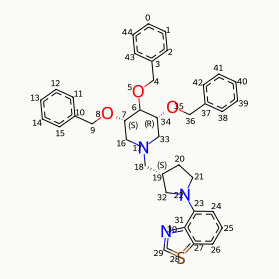 c1ccc(COC2[C@@H](OCc3ccccc3)CN(C[C@@H]3CCN(c4cccc5scnc45)C3)C[C@H]2OCc2ccccc2)cc1